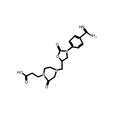 N=C(N)c1ccc(N2CC(CN3CCN(CCC(=O)O)C(=O)C3)OC2=O)cc1